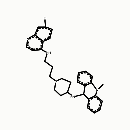 CN1c2ccccc2C(NC2CCN(CCCNc3ccnc4cc(Cl)ccc34)CC2)c2ccccc21